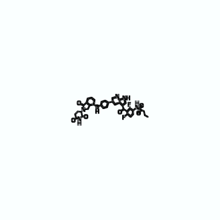 CCCS(=O)(=O)Nc1ccc(F)c(C(=O)c2c[nH]c3ncc(-c4ccc(Bc5cccc6c5CN(C5CCC(=O)NC5=O)C6=O)cc4)cc23)c1F